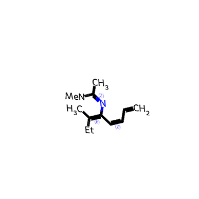 C=C\C=C/C(/N=C(/C)NC)=C(/C)CC